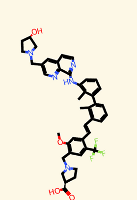 COc1cc(/C=C/c2cccc(-c3cccc(Nc4nccc5cc(CN6CC[C@@H](O)C6)cnc45)c3C)c2C)c(C(F)(F)F)cc1CN1CC[C@@H](C(=O)O)C1